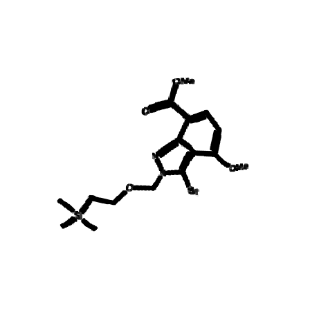 COC(=O)c1ccc(OC)c2c(Br)n(COCC[Si](C)(C)C)nc12